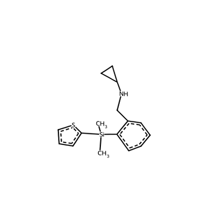 C[Si](C)(c1cccs1)c1ccccc1CNC1CC1